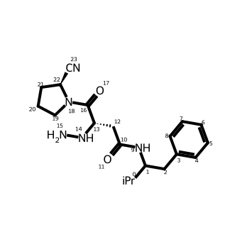 CC(C)C(Cc1ccccc1)NC(=O)C[C@H](NN)C(=O)N1CCC[C@H]1C#N